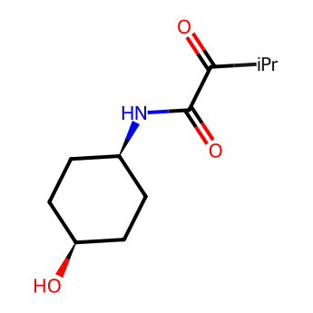 CC(C)C(=O)C(=O)N[C@H]1CC[C@@H](O)CC1